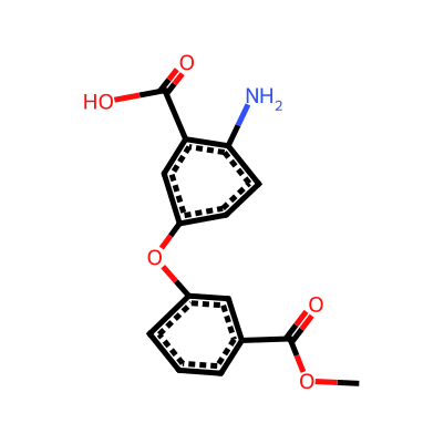 COC(=O)c1cccc(Oc2ccc(N)c(C(=O)O)c2)c1